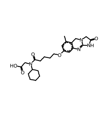 Cc1cc(OCCCCC(=O)N(CC(=O)O)C2CCCCC2)cc2c1CN1CC(=O)NC1=N2